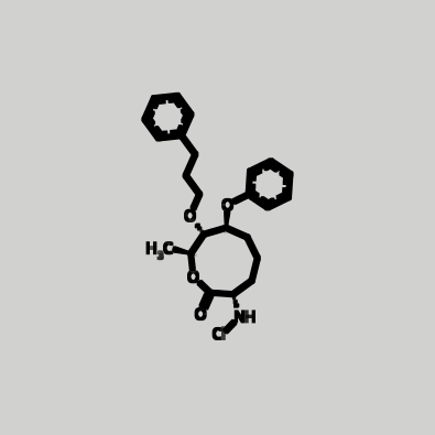 C[C@@H]1OC(=O)[C@@H](NCl)CCC[C@H](Oc2ccccc2)[C@H]1OCCCc1ccccc1